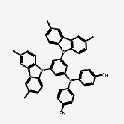 Cc1ccc2c(c1)c1cc(C)ccc1n2-c1cc(N(c2ccc(C#N)cc2)c2ccc(C#N)cc2)cc(-n2c3ccc(C)cc3c3cc(C)ccc32)c1